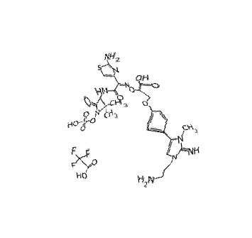 Cn1c(-c2ccc(OCC(ON=C(C(=O)NC3C(=O)N(OS(=O)(=O)O)C3(C)C)c3csc(N)n3)C(=O)O)cc2)cn(CCCN)c1=N.O=C(O)C(F)(F)F